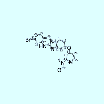 CN(C=O)c1cc(Oc2ccc3c(c2)nc(Nc2cccc(Br)c2)n3C)ccn1